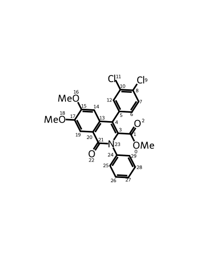 COC(=O)c1c(-c2ccc(Cl)c(Cl)c2)c2cc(OC)c(OC)cc2c(=O)n1-c1ccccc1